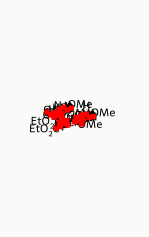 CCOC(=O)C1=NN(c2ccc(Cl)cc2Cl)C(C)(C(=O)OCC)C1.COC(=O)c1ccc(CNS(C)(=O)=O)cc1S(=O)(=O)NC(=O)Nc1nc(OC)cc(OC)n1.COC(=O)c1ccc(I)cc1S(=O)(=O)[N-]C(=O)Nc1nc(C)nc(OC)n1.[Na+]